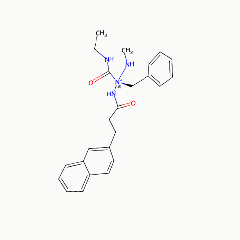 CCNC(=O)[N@+](Cc1ccccc1)(NC)NC(=O)CCc1ccc2ccccc2c1